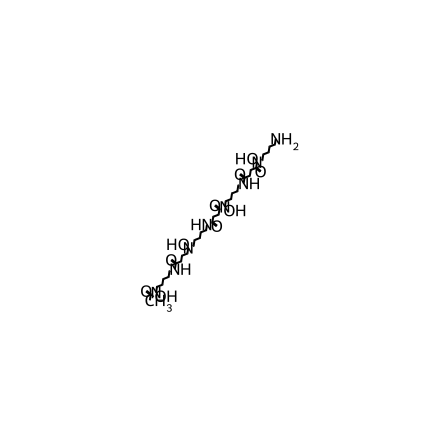 CC(=O)N(O)CCCCCNC(=O)CCCN(O)CCCCCNC(=O)CCC(=O)N(O)CCCCCNC(=O)CCC(=O)N(O)CCCCCN